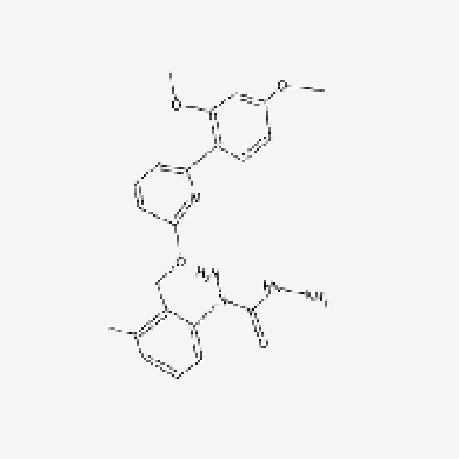 COc1ccc(-c2cccc(OCc3c(C)cccc3N(N)C(=O)NN)n2)c(OC)c1